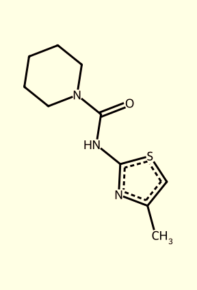 Cc1csc(NC(=O)N2CCCCC2)n1